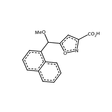 COC(c1cc(C(=O)O)no1)c1cccc2ccccc12